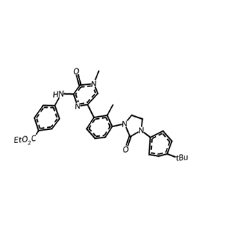 CCOC(=O)c1ccc(Nc2nc(-c3cccc(N4CCN(c5ccc(C(C)(C)C)cc5)C4=O)c3C)cn(C)c2=O)cc1